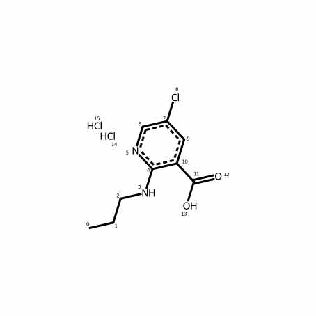 CCCNc1ncc(Cl)cc1C(=O)O.Cl.Cl